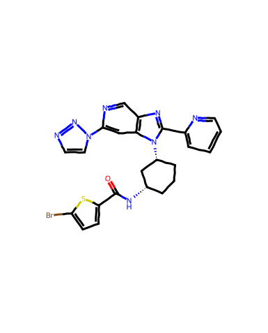 O=C(N[C@H]1CCC[C@@H](n2c(-c3ccccn3)nc3cnc(-n4ccnn4)cc32)C1)c1ccc(Br)s1